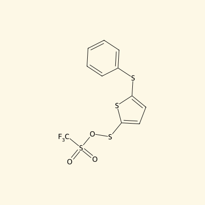 O=S(=O)(OSc1ccc(Sc2ccccc2)s1)C(F)(F)F